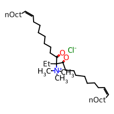 CCCCCCCC/C=C\CCCCCCCC(=O)C(CC)(C(=O)CCCCCCC/C=C\CCCCCCCC)[N+](C)(C)C.[Cl-]